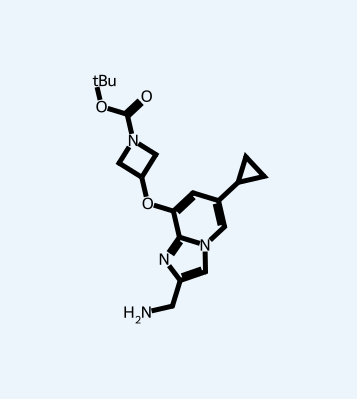 CC(C)(C)OC(=O)N1CC(Oc2cc(C3CC3)cn3cc(CN)nc23)C1